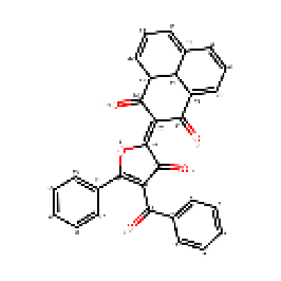 O=C1C(C(=O)c2ccccc2)=C(c2ccccc2)O/C1=C1/C(=O)C2=CC=CC3=CC=CC(C1=O)C32